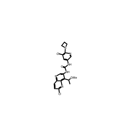 COC(C)c1c(NC(=O)Nc2cnc(N3CCC3)c(Cl)c2)cnc2ccc(Cl)nc12